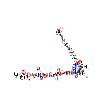 CC(C)C(=O)COCCOCCNC(=O)COCCOCCNC(=O)COCCOCCNC(=O)[C@H](C)NC(=O)[C@H](C)NC(=O)CCCCCCCCCCCCCCCCCCC(=O)O